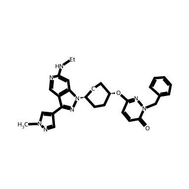 CCNc1cc2c(cn1)c(-c1cnn(C)c1)nn2[C@H]1CC[C@@H](Oc2ccc(=O)n(Cc3ccccc3)n2)CC1